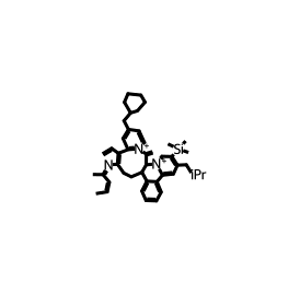 C=CC1=C(N=C(C)/C=C\C)CCC2c3ccccc3-c3cc(CC(C)C)c([Si](C)(C)C)c[n+]3C2C(=C)[n+]2ccc(CC3CCCCC3)cc21